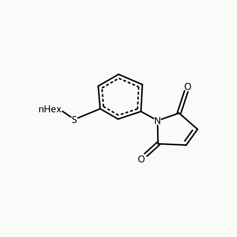 CCCCCCSc1cccc(N2C(=O)C=CC2=O)c1